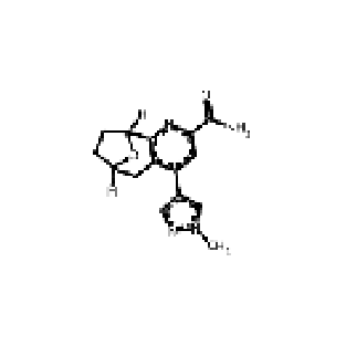 Cn1cc(-c2cc(C(N)=O)nc3c2C[C@@H]2CC[C@H]3O2)cn1